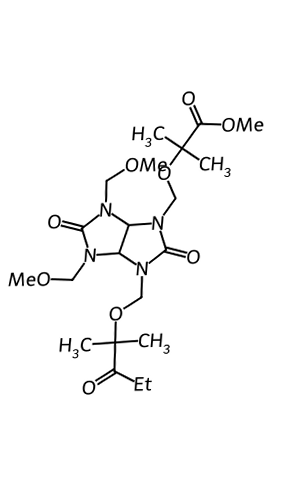 CCC(=O)C(C)(C)OCN1C(=O)N(COC(C)(C)C(=O)OC)C2C1N(COC)C(=O)N2COC